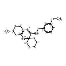 COc1cccc(CNC2=NC3=C(CC(C)C=C3)NC23CCCCC3)c1